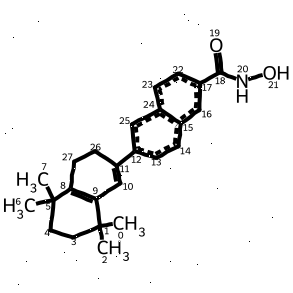 CC1(C)CCC(C)(C)C2=C1C=C(c1ccc3cc(C(=O)NO)ccc3c1)CC2